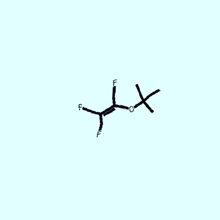 CC(C)(C)OC(F)=C(F)F